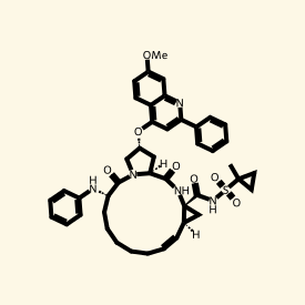 COc1ccc2c(O[C@@H]3C[C@H]4C(=O)N[C@]5(C(=O)NS(=O)(=O)C6(C)CC6)C[C@H]5/C=C\CCCCC[C@H](Nc5ccccc5)C(=O)N4C3)cc(-c3ccccc3)nc2c1